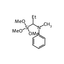 CCC(N(C)c1ccccc1)[Si](OC)(OC)OC